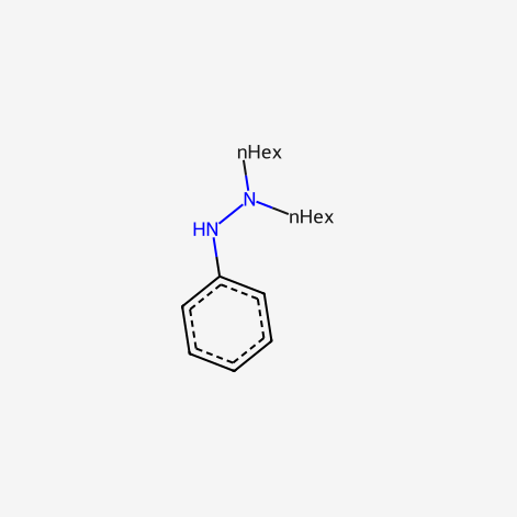 CCCCCCN(CCCCCC)Nc1ccccc1